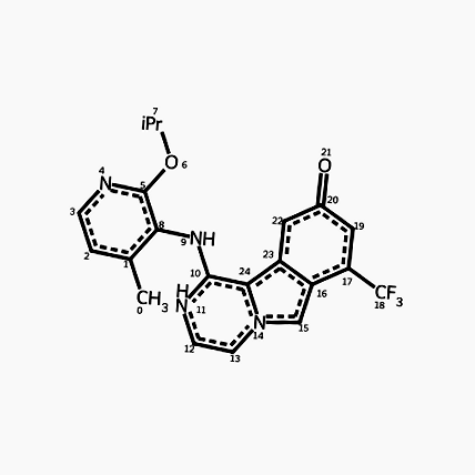 Cc1ccnc(OC(C)C)c1Nc1[nH]ccn2cc3c(C(F)(F)F)cc(=O)cc3c12